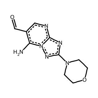 Nc1c(C=O)cnc2nc(N3CCOCC3)nn12